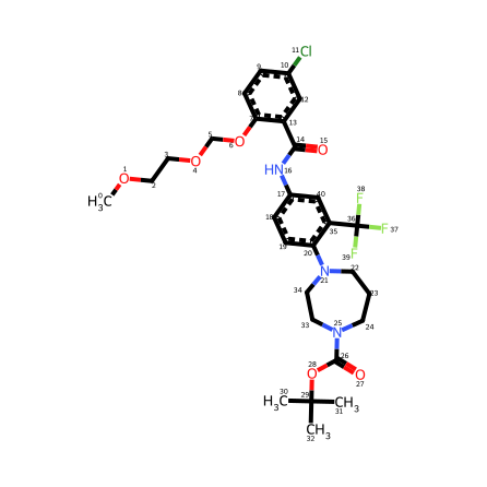 COCCOCOc1ccc(Cl)cc1C(=O)Nc1ccc(N2CCCN(C(=O)OC(C)(C)C)CC2)c(C(F)(F)F)c1